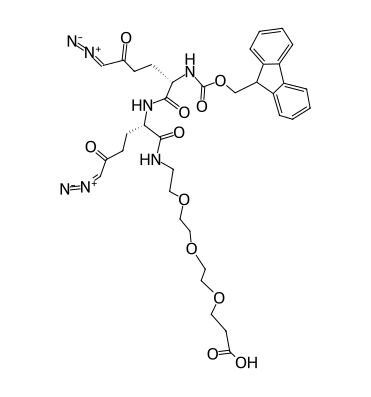 [N-]=[N+]=CC(=O)CC[C@H](NC(=O)OCC1c2ccccc2-c2ccccc21)C(=O)N[C@@H](CCC(=O)C=[N+]=[N-])C(=O)NCCOCCOCCOCCC(=O)O